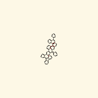 c1ccc(-c2cccc(-c3cc(-c4ccccc4-n4c5ccccc5c5ccccc54)ccc3N(c3ccccc3)c3ccc(-c4ccc(-c5ccccc5)c5ccccc45)cc3)c2)cc1